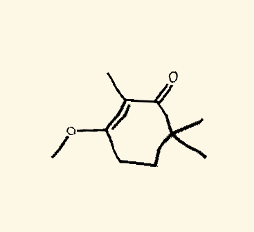 COC1=C(C)C(=O)C(C)(C)CC1